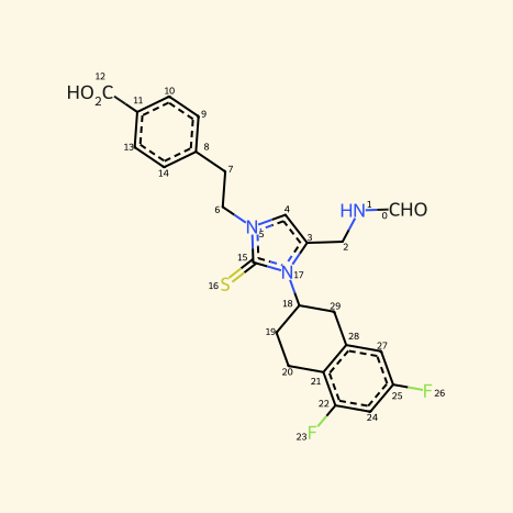 O=CNCc1cn(CCc2ccc(C(=O)O)cc2)c(=S)n1C1CCc2c(F)cc(F)cc2C1